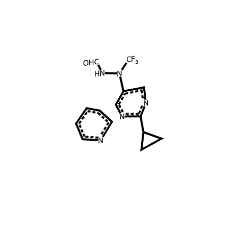 O=CNN(c1cnc(C2CC2)nc1)C(F)(F)F.c1ccncc1